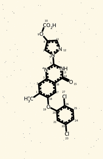 Cc1cc2nc(-n3cc(OC(=O)O)cn3)[nH]c(=O)c2cc1Oc1cc(Cl)ccc1Cl